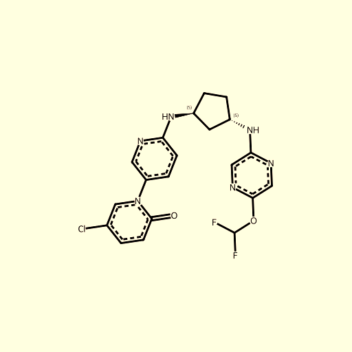 O=c1ccc(Cl)cn1-c1ccc(N[C@H]2CC[C@H](Nc3cnc(OC(F)F)cn3)C2)nc1